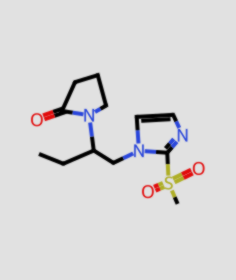 CCC(Cn1ccnc1S(C)(=O)=O)N1CCCC1=O